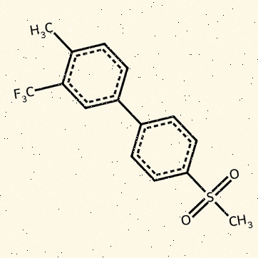 Cc1ccc(-c2ccc(S(C)(=O)=O)cc2)cc1C(F)(F)F